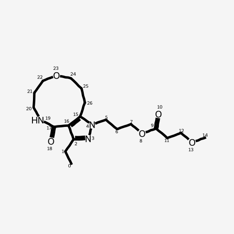 CCc1nn(CCCOC(=O)CCOC)c2c1C(=O)NCCCOCCC2